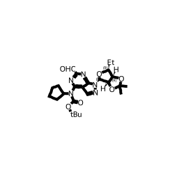 CC[C@H]1O[C@@H](n2ncc3c(N(C(=O)OC(C)(C)C)C4CCCC4)nc(C=O)nc32)[C@@H]2OC(C)(C)O[C@@H]21